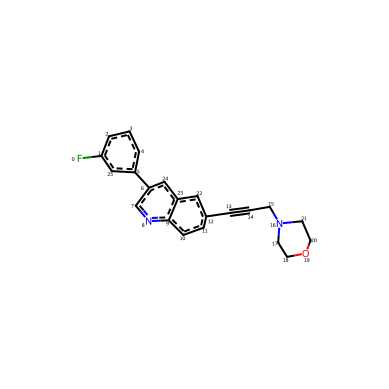 Fc1cccc(-c2cnc3ccc(C#CCN4CCOCC4)cc3c2)c1